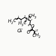 C=CCC[N+](C)(C)CCOC(=O)C=C.[Cl-]